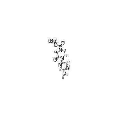 C=Cc1cnc(N2CCN(C(=O)OC(C)(C)C)CC2=O)cn1